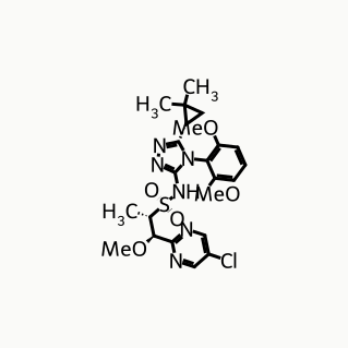 COc1cccc(OC)c1-n1c(NS(=O)(=O)[C@@H](C)[C@H](OC)c2ncc(Cl)cn2)nnc1[C@H]1CC1(C)C